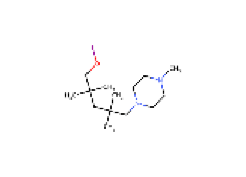 CN1CCN(CC(C)(C)CC(C)(C)COI)CC1